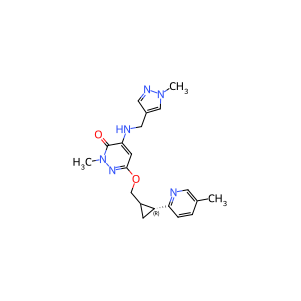 Cc1ccc([C@@H]2CC2COc2cc(NCc3cnn(C)c3)c(=O)n(C)n2)nc1